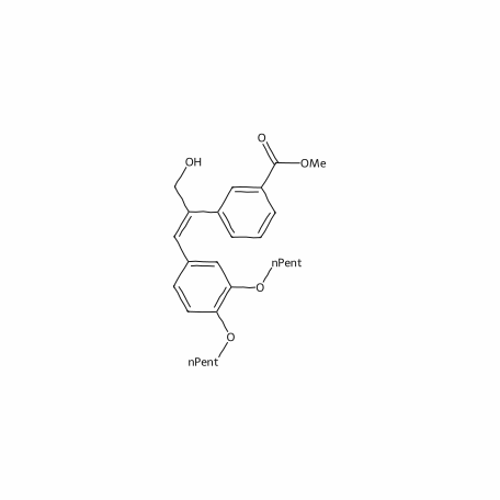 CCCCCOc1ccc(C=C(CO)c2cccc(C(=O)OC)c2)cc1OCCCCC